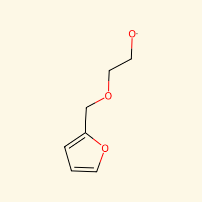 [O]CCOCc1ccco1